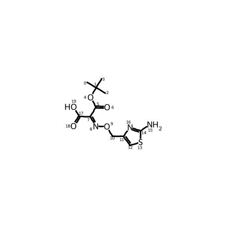 CC(C)(C)OC(=O)C(=NOCc1csc(N)n1)C(=O)O